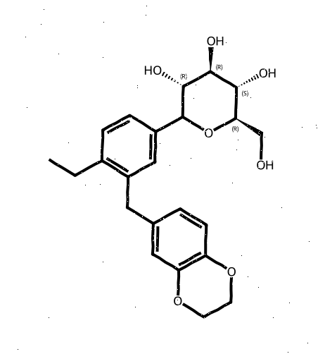 CCc1ccc(C2O[C@H](CO)[C@@H](O)[C@H](O)[C@H]2O)cc1Cc1ccc2c(c1)OCCO2